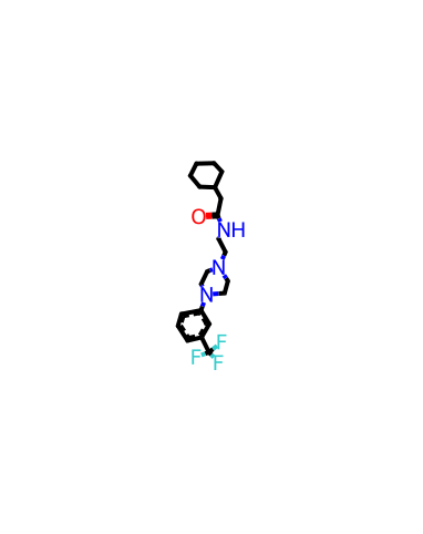 O=C(CC1CCCCC1)NCCN1CCN(c2cccc(C(F)(F)F)c2)CC1